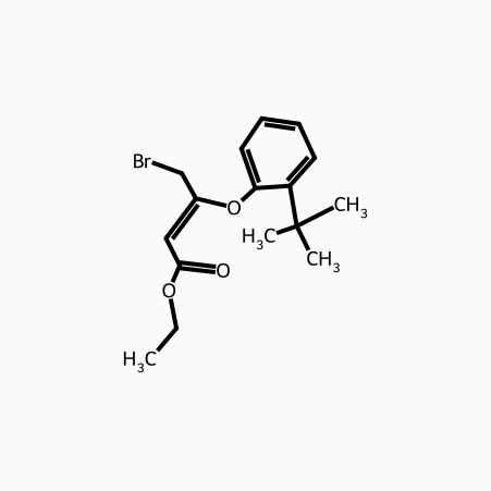 CCOC(=O)/C=C(/CBr)Oc1ccccc1C(C)(C)C